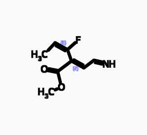 C/C=C(F)\C(=C/C=N)C(=O)OC